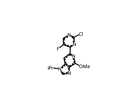 COc1nc(-c2nc(Cl)ncc2F)cc2c1ncn2C(C)C